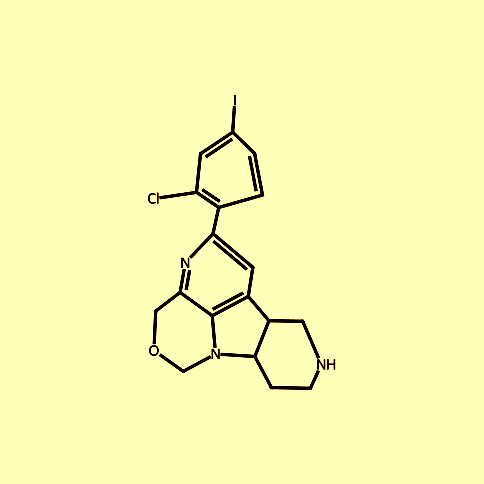 Clc1cc(I)ccc1-c1cc2c3c(n1)COCN3C1CCNCC21